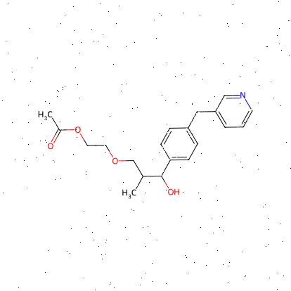 CC(=O)OCCOCC(C)C(O)c1ccc(Cc2cccnc2)cc1